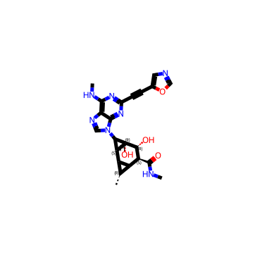 CNC(=O)[C@H]1C2C([C@H]2C)[C@H]2C(n3cnc4c(NC)nc(C#Cc5cnco5)nc43)[C@@]2(O)[C@@H]1O